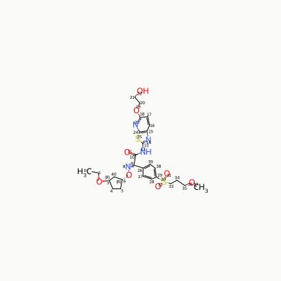 CCO[C@@H]1CC[C@@H](O/N=C(/C(=O)Nc2nc3ccc(OCCO)nc3s2)c2ccc(S(=O)(=O)CCCOC)cc2)C1